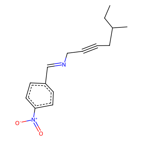 CCC(C)CC#CCN=Cc1ccc([N+](=O)[O-])cc1